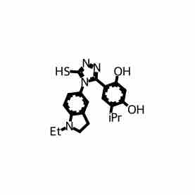 CCN1CCc2cc(-n3c(S)nnc3-c3cc(C(C)C)c(O)cc3O)ccc21